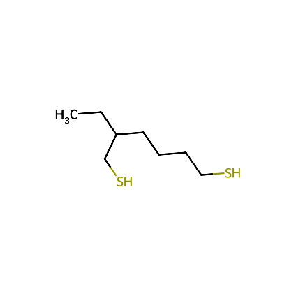 CCC(CS)CCCCS